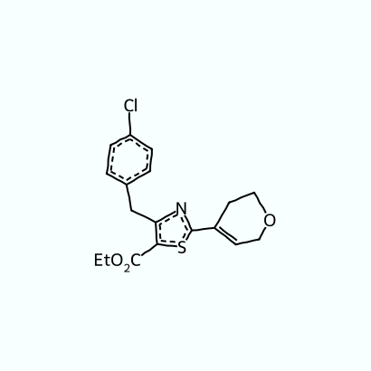 CCOC(=O)c1sc(C2=CCOCC2)nc1Cc1ccc(Cl)cc1